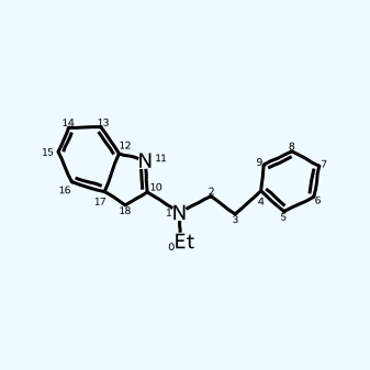 CCN(CCc1ccccc1)C1=Nc2ccccc2C1